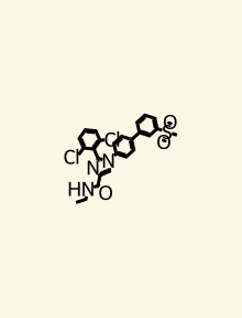 CCNC(=O)c1cn(-c2ccc(-c3cccc(S(C)(=O)=O)c3)cc2)c(-c2c(Cl)cccc2Cl)n1